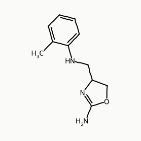 Cc1ccccc1NCC1COC(N)=N1